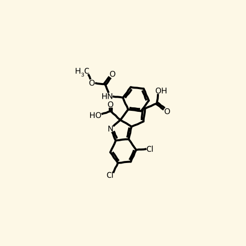 COC(=O)Nc1ccccc1C1(C(=O)O)N=c2cc(Cl)cc(Cl)c2=C1C=CC(=O)O